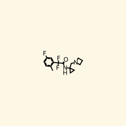 Cc1ccc(F)cc1C(F)(F)C(=O)NC1(CN2CCC2)CC1